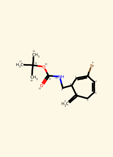 C=C1CC=CC(Br)=CC1CNC(=O)OC(C)(C)C